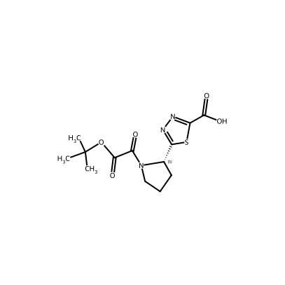 CC(C)(C)OC(=O)C(=O)N1CCC[C@H]1c1nnc(C(=O)O)s1